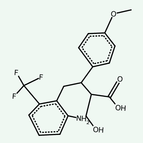 COc1ccc(C(Cc2c(N)cccc2C(F)(F)F)C(CO)C(=O)O)cc1